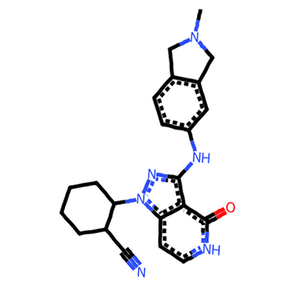 CN1Cc2ccc(Nc3nn(C4CCCCC4C#N)c4cc[nH]c(=O)c34)cc2C1